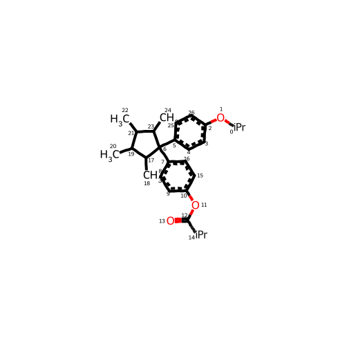 CC(C)Oc1ccc(C2(c3ccc(OC(=O)C(C)C)cc3)C(C)C(C)C(C)C2C)cc1